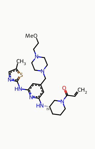 C=CC(=O)N1CCC[C@H](Nc2cc(CN3CCN(CCOC)CC3)cc(Nc3ncc(C)s3)n2)C1